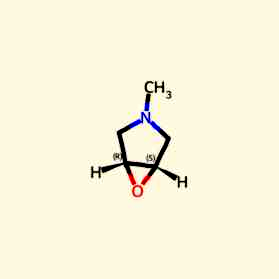 CN1C[C@@H]2O[C@@H]2C1